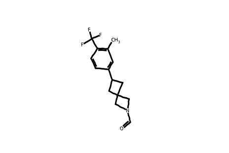 Cc1cc(C2CC3(C2)CN(C=O)C3)ccc1C(F)(F)F